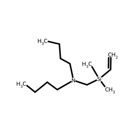 C=C[Si](C)(C)CN(CCCC)CCCC